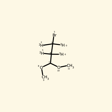 [2H]C([2H])(Br)C([2H])([2H])C(OC)OC